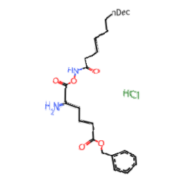 CCCCCCCCCCCCCCCC(=O)NOC(=O)[C@H](N)CCCC(=O)OCc1ccccc1.Cl